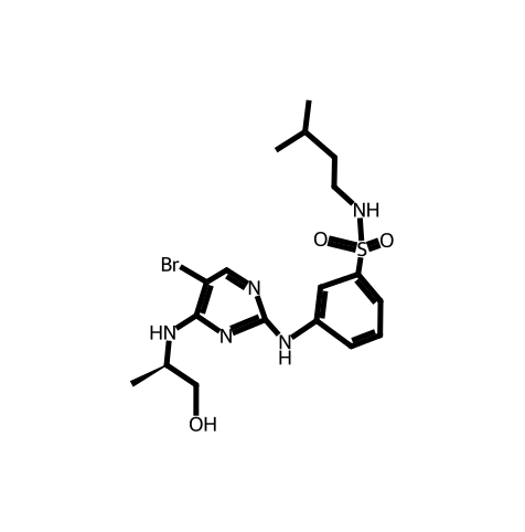 CC(C)CCNS(=O)(=O)c1cccc(Nc2ncc(Br)c(N[C@H](C)CO)n2)c1